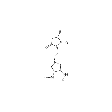 CCNC1CN(CCN2C(=O)CC(CC)C2=O)CC1NCC